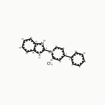 [Cl-].c1ccc(-c2cc[n+](-c3nc4ccccc4s3)cc2)cc1